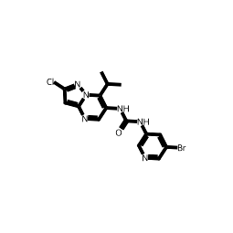 CC(C)c1c(NC(=O)Nc2cncc(Br)c2)cnc2cc(Cl)nn12